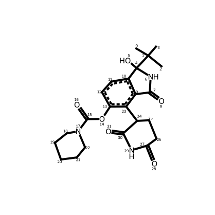 CC(C)(C)C1(O)NC(=O)c2c1ccc(OC(=O)N1CCCCC1)c2C1CCC(=O)NC1=O